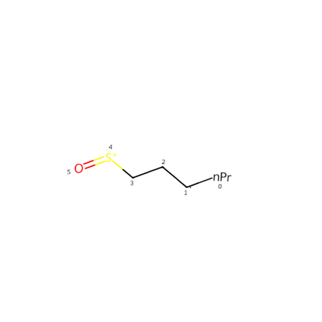 CCC[CH]CC[S+]=O